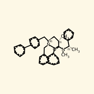 C[C@@H](C[C@H](Cc1ccc(-c2ccccc2)cc1)N(Cc1ccccc1)Cc1ccccc1)C(=O)N(C)[C@@H](C)c1ccccc1